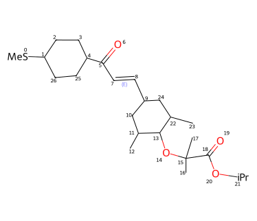 CSC1CCC(C(=O)/C=C/C2CC(C)C(OC(C)(C)C(=O)OC(C)C)C(C)C2)CC1